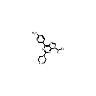 CCC(CC)n1cnc2c(-c3ccc(N)nc3)nc(N3CCOCC3)nc21